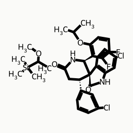 CC(C)Oc1ccc(F)c(F)c1[C@@H]1NC(=O)C[C@@H](c2cccc(Cl)c2)[C@]12C(=O)Nc1cc(Cl)ccc12.COC(C)[Si](C)(C)C